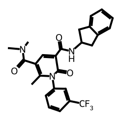 Cc1c(C(=O)N(C)C)cc(C(=O)NC2Cc3ccccc3C2)c(=O)n1-c1cccc(C(F)(F)F)c1